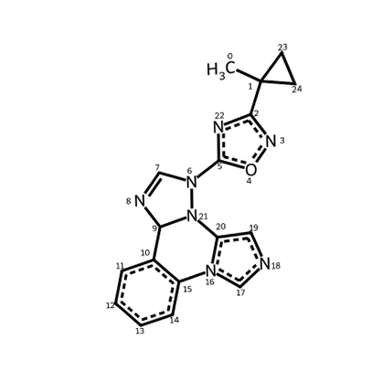 CC1(c2noc(N3C=NC4c5ccccc5-n5cncc5N43)n2)CC1